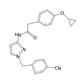 N#Cc1ccc(Cn2ccc(NC(=O)Cc3ccc(OC4CC4)cc3)n2)cc1